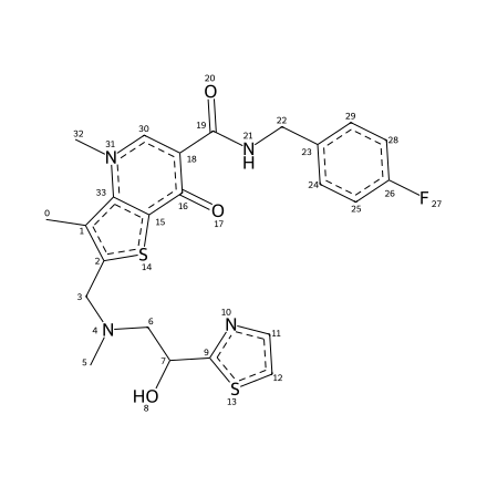 Cc1c(CN(C)CC(O)c2nccs2)sc2c(=O)c(C(=O)NCc3ccc(F)cc3)cn(C)c12